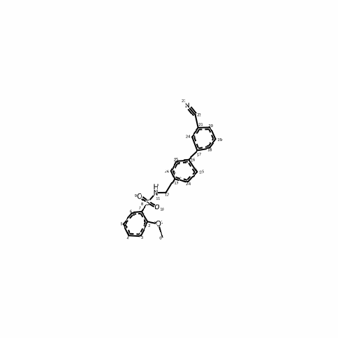 COc1ccccc1S(=O)(=O)NCc1ccc(-c2cccc(C#N)c2)cc1